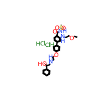 CCOCCNc1cc(-c2ccc(OCCNC[C@H](O)c3ccccc3)cc2)ccc1C(=O)NS(C)(=O)=O.Cl.Cl